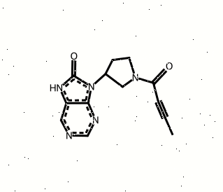 CC#CC(=O)N1CCC(n2c(=O)[nH]c3cncnc32)C1